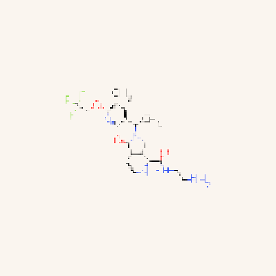 Cc1cc(C(C)N2Cc3c(ccnc3C(=O)NCCN)C2=O)cnc1OCC(F)(F)F